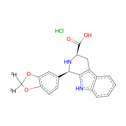 Cl.[2H]C1([2H])Oc2ccc([C@H]3N[C@@H](C(=O)O)Cc4c3[nH]c3ccccc43)cc2O1